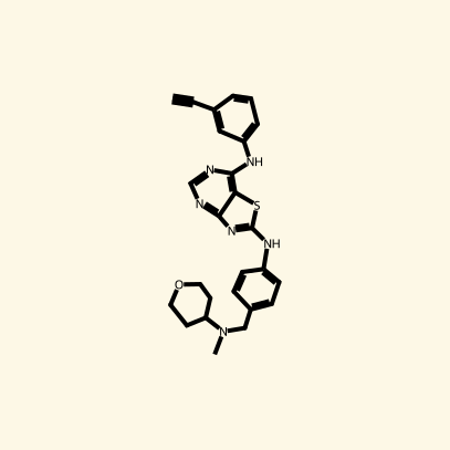 C#Cc1cccc(Nc2ncnc3nc(Nc4ccc(CN(C)C5CCOCC5)cc4)sc23)c1